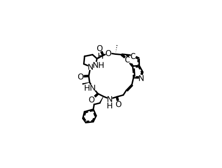 C[C@@H]1NC(=O)[C@H](CCc2ccccc2)NC(=O)C/C=C/c2cc3cc(ccc3cn2)[C@@H](C)OC(=O)[C@@H]2CCCN(N2)C1=O